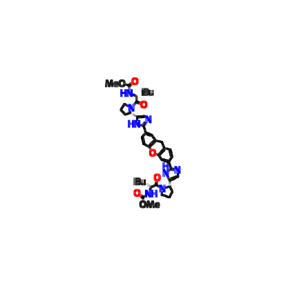 CC[C@H](C)[C@H](NC(=O)OC)C(=O)N1CCC[C@H]1c1cnc(-c2ccc3c(c2)Cc2ccc(-c4ncc([C@@H]5CCCN5C(=O)[C@@H](NC(=O)OC)[C@@H](C)CC)[nH]4)cc2O3)[nH]1